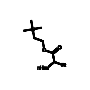 CCCCCCC(CC)C(=O)OCC[Si](C)(C)C